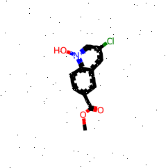 COC(=O)c1ccc2c(cc(Cl)c[n+]2O)c1